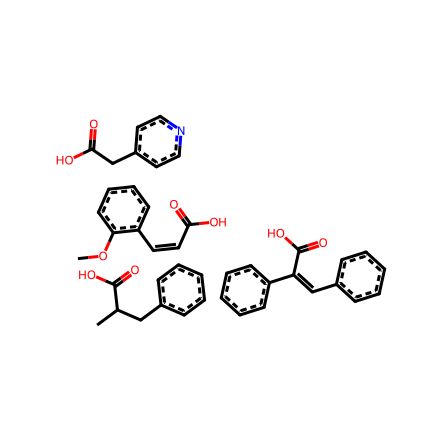 CC(Cc1ccccc1)C(=O)O.COc1ccccc1/C=C\C(=O)O.O=C(O)C(=Cc1ccccc1)c1ccccc1.O=C(O)Cc1ccncc1